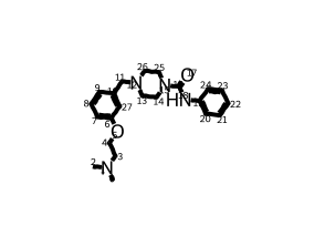 CN(C)CCOc1cccc(CN2CCN(C(=O)Nc3ccccc3)CC2)c1